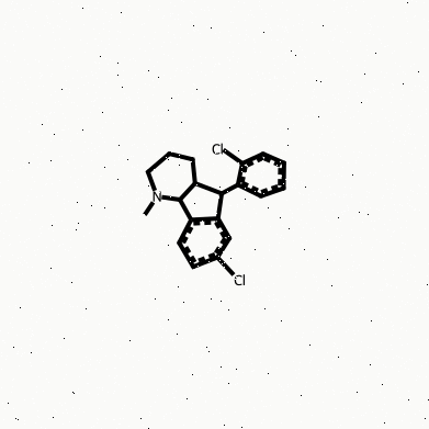 CN1CCCC2C(c3ccccc3Cl)c3cc(Cl)ccc3C21